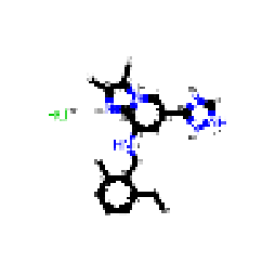 CCc1cccc(C)c1CNc1cc(-c2nc[nH]n2)cn2c(C)c(C)nc12.Cl